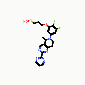 CC1c2cnc(-c3ncccn3)nc2CCN1c1cc(F)c(F)c(OCCCSO)c1